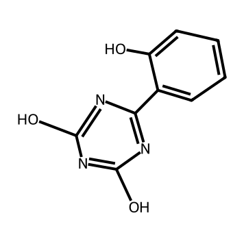 Oc1nc(O)nc(-c2ccccc2O)n1